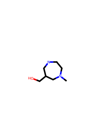 CN1CC[N]CC(CO)C1